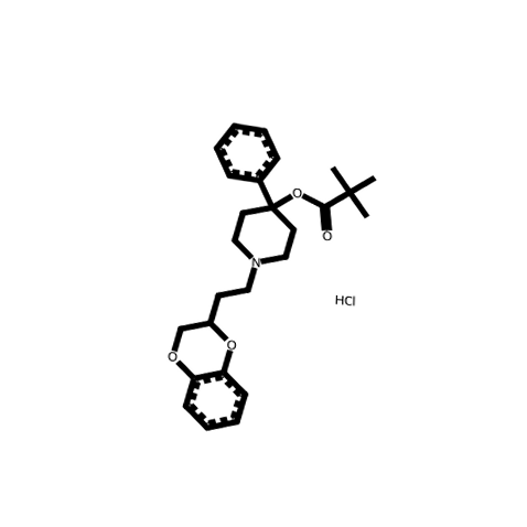 CC(C)(C)C(=O)OC1(c2ccccc2)CCN(CCC2COc3ccccc3O2)CC1.Cl